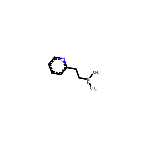 C[SiH](C)CCc1ccccn1